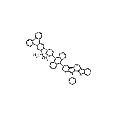 CC1(C)c2cc(-c3c4ccccc4c(-c4ccc5c(c4)c4ccc6c7ccccc7sc6c4n5-c4ccccc4)c4ccccc34)ccc2-c2cc3c4ccccc4c4ccccc4c3cc21